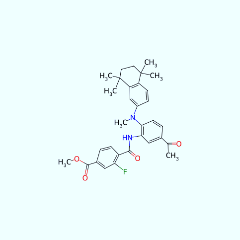 COC(=O)c1ccc(C(=O)Nc2cc(C(C)=O)ccc2N(C)c2ccc3c(c2)C(C)(C)CCC3(C)C)c(F)c1